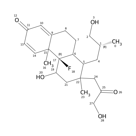 C[C@@H](CO)CC1C2CCC3=CC(=O)C=CC3(C)[C@@]2(F)C(O)CC1(C)CC(=O)CO